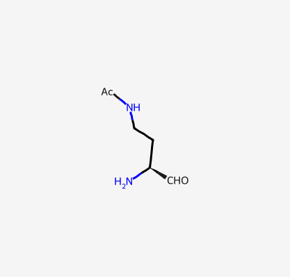 CC(=O)NCC[C@H](N)C=O